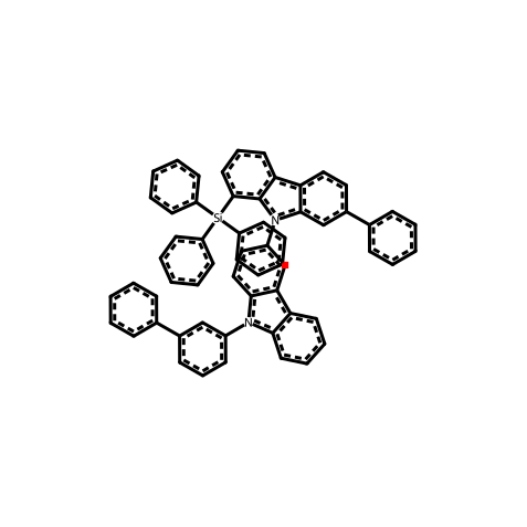 c1ccc(-c2cccc(-n3c4ccccc4c4cc(-n5c6cc(-c7ccccc7)ccc6c6cccc([Si](c7ccccc7)(c7ccccc7)c7ccccc7)c65)ccc43)c2)cc1